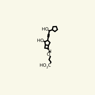 O=C(O)CCCON=C1CC2C1CC(C#CC(O)C1CCCC1)C2O